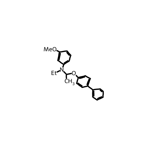 CCN(c1cccc(OC)c1)C(C)Oc1ccc(-c2ccccc2)cc1